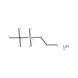 [CH2]CC[Si](C)(C)C(C)(C)C.[LiH]